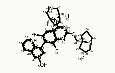 Oc1cc(-c2c(F)cc3c(N4[C@@H]5CC[C@H]4CNC5)nc(OC[C@@]45CCCN4C[C@H](F)C5)nc3c2F)c2ncccc2c1